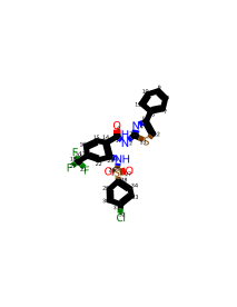 O=C(Nc1nc(-c2ccccc2)cs1)c1ccc(C(F)(F)F)cc1NS(=O)(=O)c1ccc(Cl)cc1